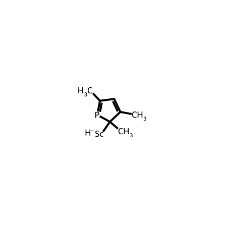 CC1=CC(C)=P[C]1(C)[Sc].[H-]